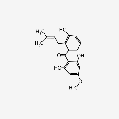 COc1cc(O)c(C(=O)c2cccc(O)c2CC=C(C)C)c(O)c1